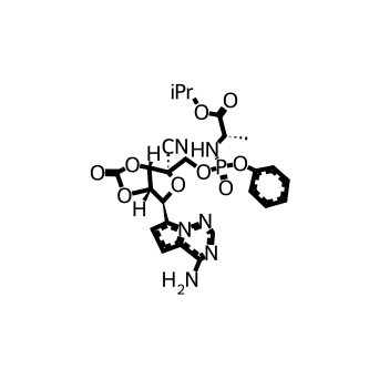 CC(C)OC(=O)[C@H](C)NP(=O)(OC[C@@]1(C#N)O[C@@H](c2ccc3c(N)ncnn23)[C@@H]2OC(=O)O[C@@H]21)Oc1ccccc1